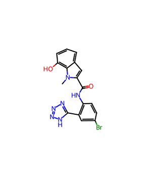 Cn1c(C(=O)Nc2ccc(Br)cc2-c2nnn[nH]2)cc2cccc(O)c21